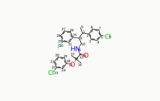 CC(c1ccc(Cl)cc1)C(CNC(=O)C(C)(C)Oc1cccc(Cl)c1)c1cccc(F)c1